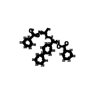 C/C(CC/C(=N/OC(=O)c1ccccc1)c1ccc(-c2ccccc2)cc1)=N/OC(=O)c1ccccc1